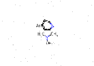 CN(C)C.[AsH3].c1ccncc1